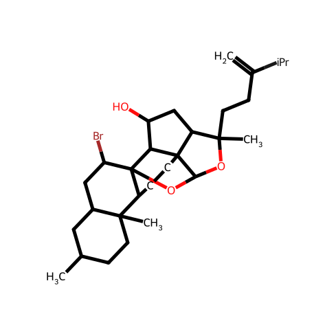 C=C(CCC1(C)OC2OC34C(Br)CC5CC(C)CCC5(C)C3CCC23C1CC(O)C34)C(C)C